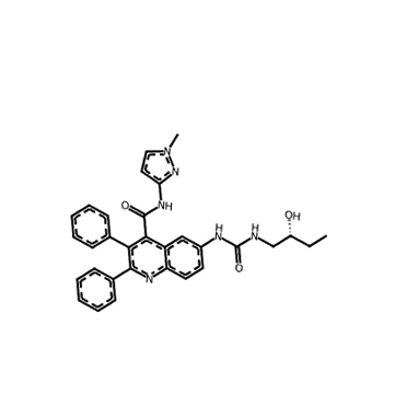 CC[C@@H](O)CNC(=O)Nc1ccc2nc(-c3ccccc3)c(-c3ccccc3)c(C(=O)Nc3ccn(C)n3)c2c1